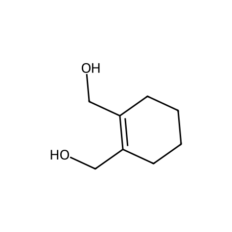 OCC1=C(CO)CCCC1